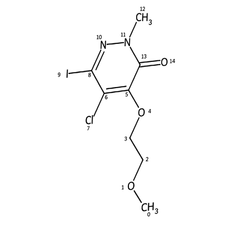 COCCOc1c(Cl)c(I)nn(C)c1=O